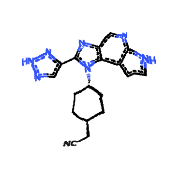 N#CC[C@H]1CC[C@H](n2c(-c3cn[nH]n3)nc3cnc4[nH]ccc4c32)CC1